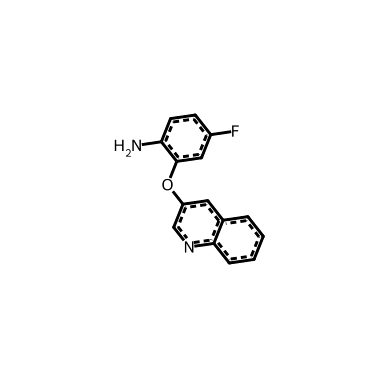 Nc1ccc(F)cc1Oc1cnc2ccccc2c1